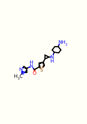 Cn1cc(NC(=O)c2cc(C3CC3NC3CCC(N)CC3)cs2)cn1